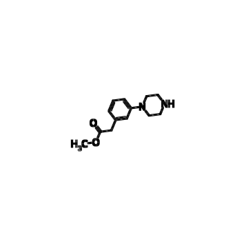 COC(=O)Cc1cccc(N2CCNCC2)c1